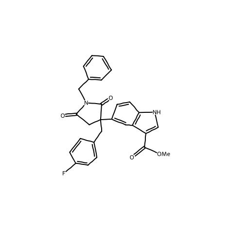 COC(=O)c1c[nH]c2ccc(C3(Cc4ccc(F)cc4)CC(=O)N(Cc4ccccc4)C3=O)cc12